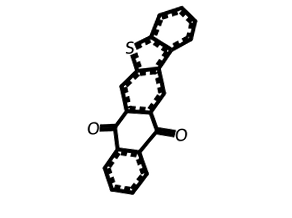 O=C1c2ccccc2C(=O)c2cc3c(cc21)sc1ccccc13